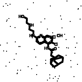 Cl.Cl.O=C(CC12CC3CC(CC(C3)C1)C2)Nc1c(Cl)ccc2nc(NCCNCCO)ccc12